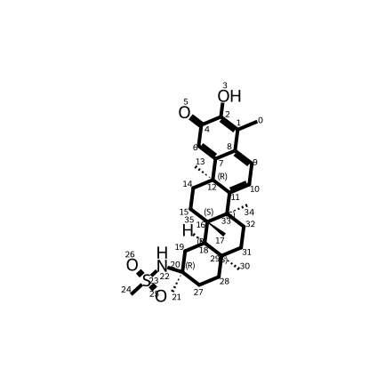 CC1=C(O)C(=O)C=C2C1=CC=C1[C@@]2(C)CC[C@@]2(C)[C@@H]3C[C@](C)(NS(C)(=O)=O)CC[C@]3(C)CC[C@]12C